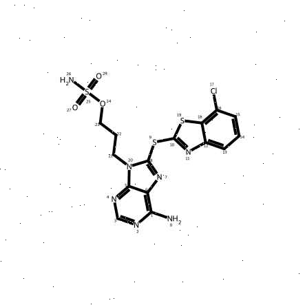 Nc1ncnc2c1nc(Sc1nc3cccc(Cl)c3s1)n2CCCOS(N)(=O)=O